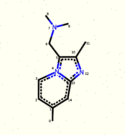 Cc1ccn2c(CN(C)C)c(C)nc2c1